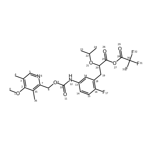 COc1c(C)cnc(COC(=O)Nc2ccc(F)c(CC(OC(C)C)C(=O)OC(=O)C(F)(F)F)c2)c1C